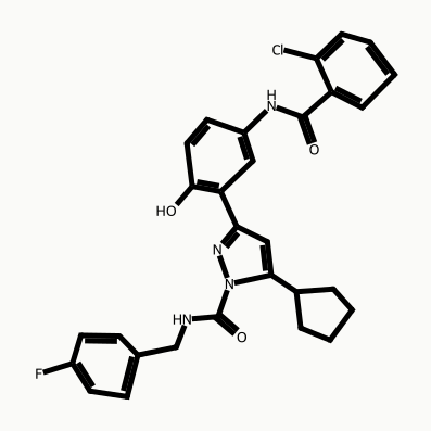 O=C(Nc1ccc(O)c(-c2cc(C3CCCC3)n(C(=O)NCc3ccc(F)cc3)n2)c1)c1ccccc1Cl